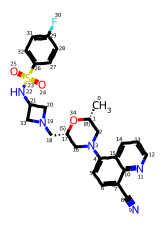 C[C@@H]1CN(c2ccc(C#N)c3ncccc23)C[C@H](CN2CC(NS(=O)(=O)c3ccc(F)cc3)C2)O1